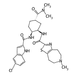 CN1CCc2nc(C(=O)N[C@@H]3C[C@@H](C(=O)N(C)C)CC[C@@H]3NC(=O)c3cc4cc(Cl)ccc4[nH]3)sc2CC1